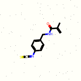 C=C(C)C(=O)NCc1ccc(N=C=S)cc1